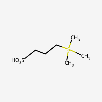 CS(C)(C)CCCS(=O)(=O)O